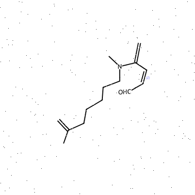 C=C(C)CCCCCN(C)C(=C)/C=C\C=O